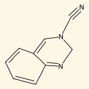 N#CN1C=c2ccccc2=NC1